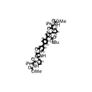 COC(=O)N[C@H](C(=O)N1CCC[C@H]1c1ncc(-n2ccc(-c3ccc(-c4cnc([C@@H]5CCCN5C(=O)[C@@H](NC(=O)OC)C(C)C)n4C(=O)OC(C)(C)C)cc3)cc2=O)[nH]1)C(C)C